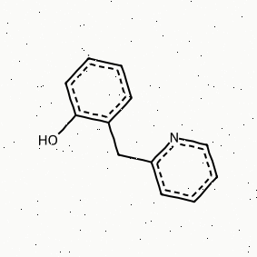 Oc1c[c]ccc1Cc1ccccn1